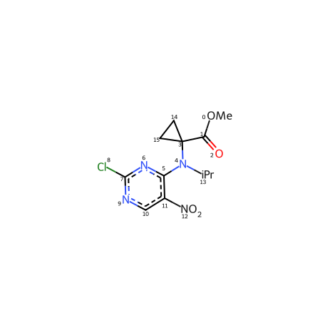 COC(=O)C1(N(c2nc(Cl)ncc2[N+](=O)[O-])C(C)C)CC1